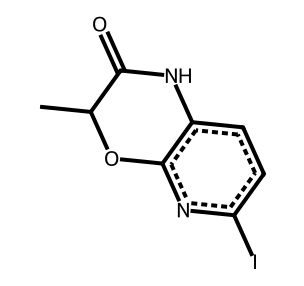 CC1Oc2nc(I)ccc2NC1=O